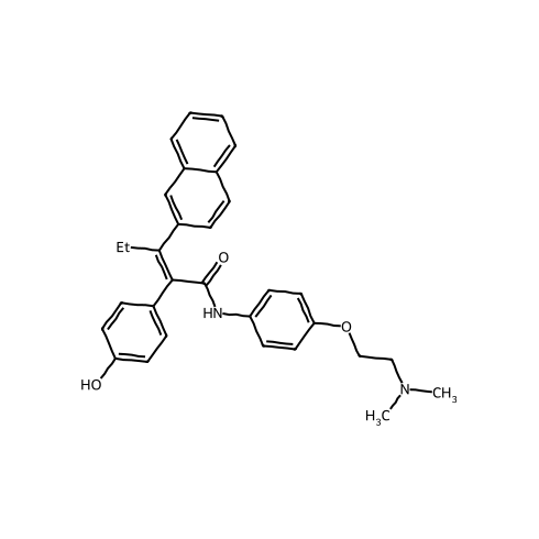 CC/C(=C(/C(=O)Nc1ccc(OCCN(C)C)cc1)c1ccc(O)cc1)c1ccc2ccccc2c1